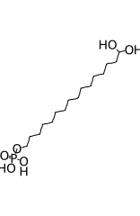 O=P(O)(O)OCCCCCCCCCCCCCCCC(O)O